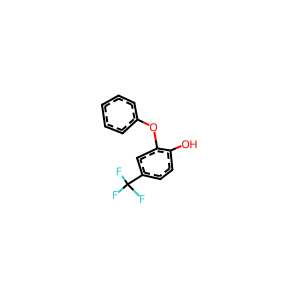 Oc1ccc(C(F)(F)F)cc1Oc1ccccc1